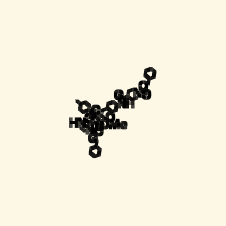 COC(=O)[C@H](Cc1ccc(NC(=O)C2CCN(C(=O)OCc3ccccc3)CC2)cc1)N(C(=O)C1CNCCN1C(=O)OCc1ccccc1)S(=O)(=O)c1ccc(C)cc1